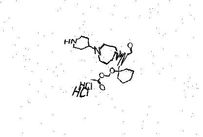 CC(=O)OCOC1(N(C=O)N2CCN(C3CCNCC3)CC2)CCCCC1.Cl.Cl